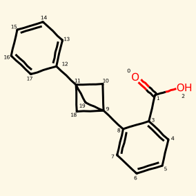 O=C(O)c1ccccc1C12CC(c3ccccc3)(C1)C2